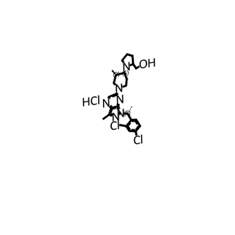 Cc1nn([C@H](C)c2ccc(Cl)cc2Cl)c2nc(N3CC[C@H](N4CCCC4CO)[C@H](C)C3)cnc12.Cl